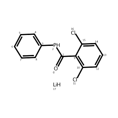 O=C(Pc1ccccc1)c1c(Cl)cccc1Cl.[LiH]